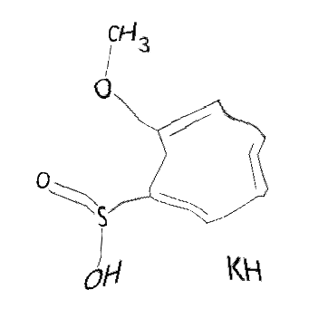 COc1ccccc1S(=O)O.[KH]